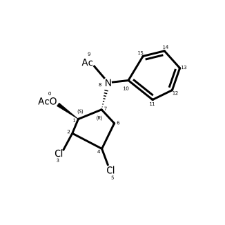 CC(=O)O[C@@H]1C(Cl)C(Cl)C[C@H]1N(C(C)=O)c1ccccc1